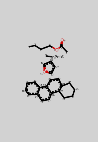 CCCCCC.CCCCOC(C)=O.c1ccc2c(c1)ccc1c3c(ccc12)CCCC3.c1ccoc1